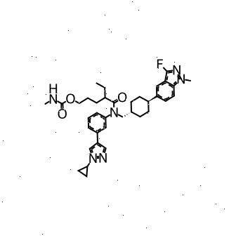 CCC(CCCOC(=O)NC)C(=O)N(C[C@H]1CC[C@H](c2ccc3c(c2)c(F)nn3C)CC1)c1cccc(-c2cnn(C3CC3)c2)c1